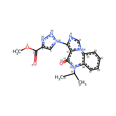 COC(=O)c1cn(-c2ncn3c2c(=O)n(C(C)C)c2ccccc23)nn1